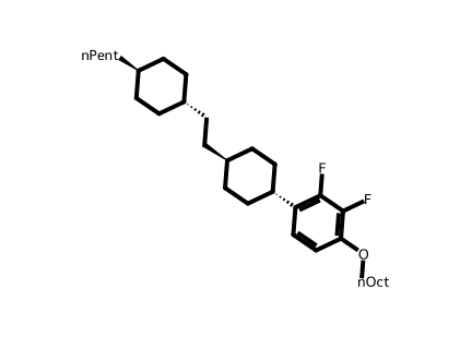 CCCCCCCCOc1ccc([C@H]2CC[C@H](CC[C@H]3CC[C@H](CCCCC)CC3)CC2)c(F)c1F